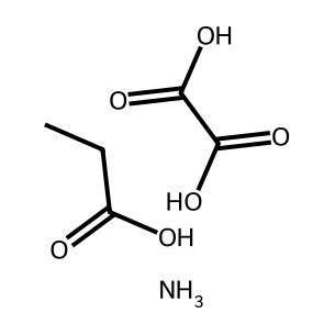 CCC(=O)O.N.O=C(O)C(=O)O